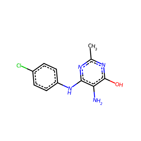 Cc1nc(O)c(N)c(Nc2ccc(Cl)cc2)n1